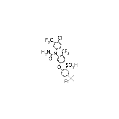 CCC(C)(C)c1ccc(Oc2ccc(C(F)(F)F)c(N(C(N)=O)c3ccc(Cl)c(C(F)(F)F)c3)c2)c(S(=O)(=O)O)c1